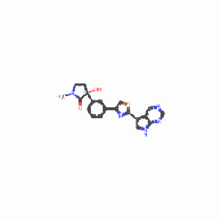 CN1CC[C@](O)(c2cccc(-c3csc(-c4c[nH]c5ncncc45)n3)c2)C1=O